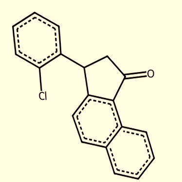 O=C1CC(c2ccccc2Cl)c2ccc3ccccc3c21